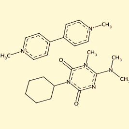 CN(C)c1nc(=O)n(C2CCCCC2)c(=O)n1C.C[n+]1ccc(-c2cc[n+](C)cc2)cc1